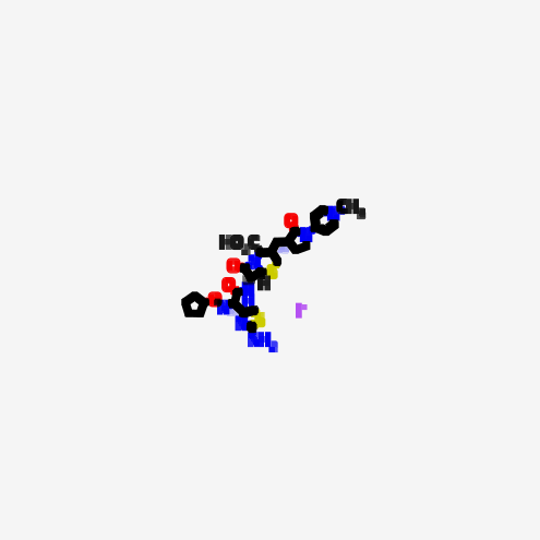 C[n+]1ccc(N2CC/C(=C\C3=C(C(=O)O)N4C(=O)[C@@H](NC(=O)/C(=N\OC5CCCC5)c5csc(N)n5)[C@H]4SC3)C2=O)cc1.[I-]